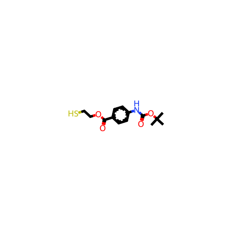 CC(C)(C)OC(=O)Nc1ccc(C(=O)OCCS)cc1